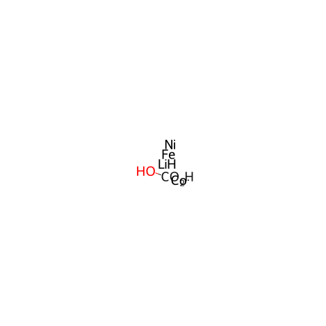 O=C(O)O.[Co].[Fe].[LiH].[Ni]